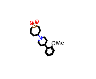 COc1ccccc1C1CCN(C2CCCS(=O)(=O)CC2)CC1